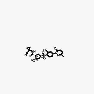 CO[C@@H]1C[C@H](S(=O)(=O)c2ccc(-n3nc(C)ccc3=O)cc2Cl)C[C@H]1C(=O)NC1(C#N)CC1